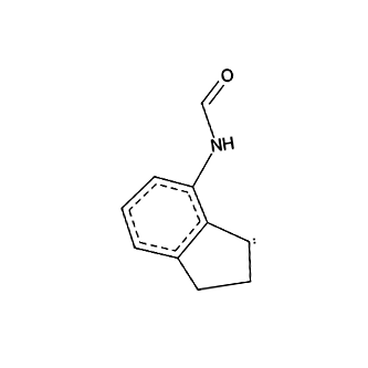 O=CNc1cccc2c1[C]CC2